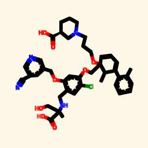 Cc1ccccc1C1=CC=CC(COc2cc(OCc3cncc(C#N)c3)c(CNC(C)(CO)C(=O)O)cc2Cl)(OCCCN2CCC[C@H](C(=O)O)C2)C1C